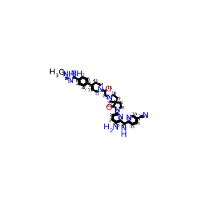 CN/C=N\C(=N)c1ccc(C2=CCN(C(=O)CN3CC[C@]4(CCN(c5ccc(N)c(C(=N)c6ccc(C#N)cn6)n5)C4=O)C3)CC2)cc1